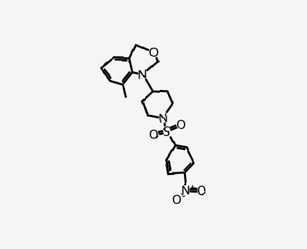 Cc1cccc2c1N(C1CCN(S(=O)(=O)c3ccc([N+](=O)[O-])cc3)CC1)COC2